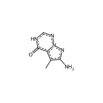 Cc1c(N)nn2nc[nH]c(=O)c12